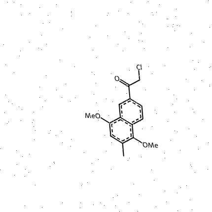 COc1cc(C)c(OC)c2ccc(C(=O)CCl)cc12